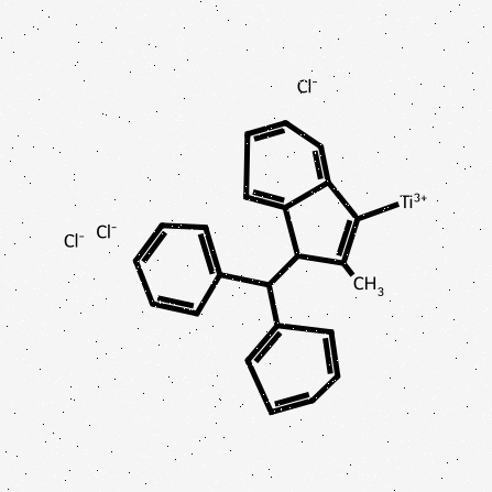 CC1=[C]([Ti+3])c2ccccc2C1C(c1ccccc1)c1ccccc1.[Cl-].[Cl-].[Cl-]